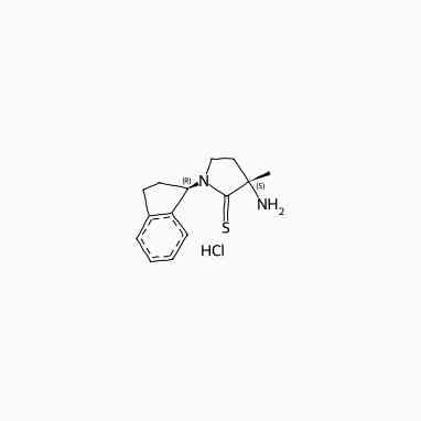 C[C@]1(N)CCN([C@@H]2CCc3ccccc32)C1=S.Cl